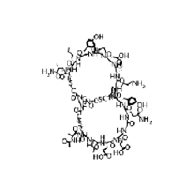 CCCC[C@@H]1NC(=O)[C@H](Cc2ccc(O)cc2)NC(=O)[C@@H]2CCCN2C(=O)[C@H](CC(=O)O)NC(=O)[C@H](C)NC(=O)[C@H](CCCCN)NC(=O)[C@@H]2CSCC(=O)N3CN(CN(C3)C(=O)CCSC[C@@H](C(=O)N[C@@H](C)C(N)=O)NC1=O)C(=O)CCSC[C@H](NC(=O)[C@H](C)NC(C)=O)C(=O)N[C@@H]([C@@H](C)CC)C(=O)N[C@@H](CCC(=O)O)C(=O)N[C@@H](CCC(=O)O)C(=O)NCC(=O)N[C@@H](CCC(N)=O)C(=O)N[C@@H](Cc1ccc(O)cc1)C(=O)N2